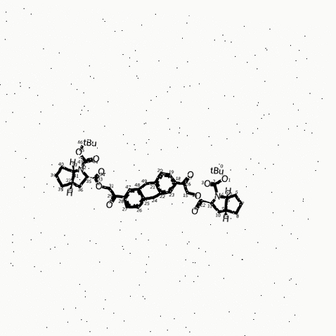 CC(C)(C)OC(=O)N1[C@@H]2CCC[C@@H]2C[C@H]1C(=O)OCC(=O)c1ccc2c(c1)Cc1ccc(C(=O)COC(=O)[C@@H]3C[C@@H]4CCC[C@@H]4N3C(=O)OC(C)(C)C)cc1C2